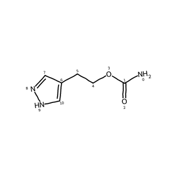 NC(=O)OCCc1cn[nH]c1